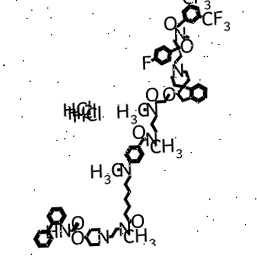 CN(CCN1CCC(OC(=O)Nc2ccccc2-c2ccccc2)CC1)C(=O)CCCCCCN(C)c1ccc(C(=O)N(C)CCCN(C)C(=O)CO[C@H]2Cc3ccccc3C23CCN(CC[C@@]2(c4ccc(F)cc4)CN(C(=O)c4cc(C(F)(F)F)cc(C(F)(F)F)c4)CO2)CC3)cc1.Cl.Cl.Cl